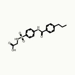 CCCc1ccc(C(=O)Nc2ccc(S(=O)(=O)NCC(=O)O)cc2)cc1